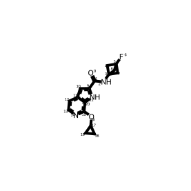 O=C(NC12CC(F)(C1)C2)c1cc2ccnc(OC3CC3)c2[nH]1